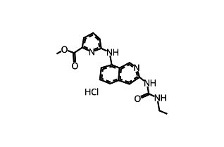 CCNC(=O)Nc1cc2cccc(Nc3cccc(C(=O)OC)n3)c2cn1.Cl